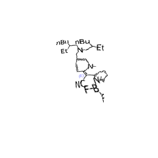 CCCCC(CC)CN(CC1=CN(C)/C(=C(/C#N)c2cccc[n+]2B(F)F)C=C1)CC(CC)CCCC